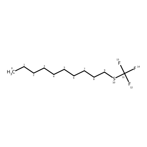 CCCCCCCCCCSC(F)(F)F